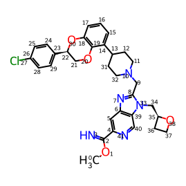 COC(=N)c1cc2nc(CN3CCC(c4cccc5c4OC[C@@H](c4ccc(Cl)cc4)O5)CC3)n(C[C@@H]3CCO3)c2cn1